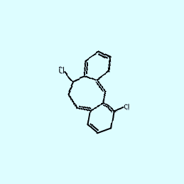 ClC1=C2/C=C3/CC=CC=C3C(Cl)C/C=C\2C=CC1